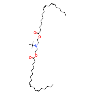 CCCCC/C=C\C/C=C\CCCCCCCC(=O)OCCN(CCOC(=O)CCCCCCC/C=C\C/C=C\CCCCC)C(C)(C)C